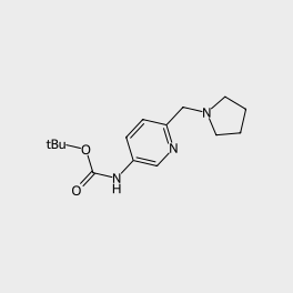 CC(C)(C)OC(=O)Nc1ccc(CN2CCCC2)nc1